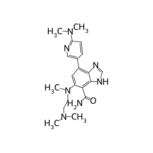 CN(C)CCN(C)c1cc(-c2ccc(N(C)C)nc2)c2nc[nH]c2c1C(N)=O